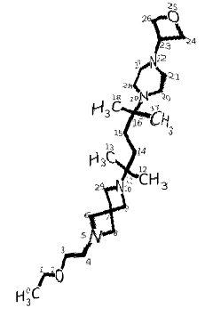 CCOCCN1CC2(C1)CN(C(C)(C)CCC(C)(C)N1CCN(C3COC3)CC1)C2